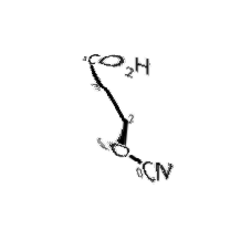 N#COCCC(=O)O